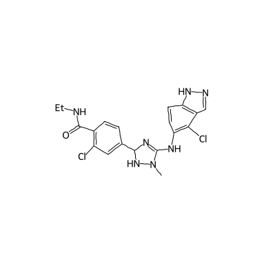 CCNC(=O)c1ccc(C2N=C(Nc3ccc4[nH]ncc4c3Cl)N(C)N2)cc1Cl